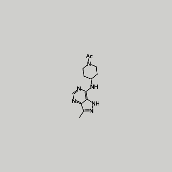 CC(=O)N1CCC(Nc2ncnc3c(C)n[nH]c23)CC1